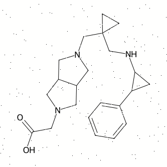 O=C(O)CN1CC2CN(CC3(CNC4CC4c4ccccc4)CC3)CC2C1